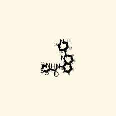 O=C(Nc1cccc2ccc(-c3ccncc3)nc12)c1cscn1